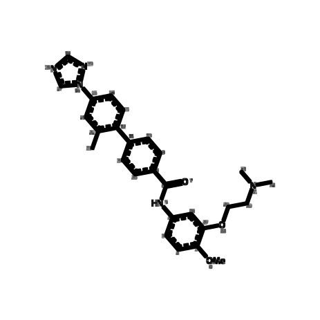 COc1ccc(NC(=O)c2ccc(-c3ccc(-n4cncn4)cc3C)cc2)cc1OCCN(C)C